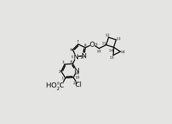 O=C(O)c1ccc(-n2ccc(OCC3CCC34CC4)n2)nc1Cl